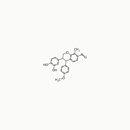 COc1ccc(C2c3ccc(N=O)c(C)c3OCC2c2ccc(O)c(O)c2)cc1